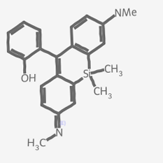 C/N=C1\C=CC2=C(c3ccccc3O)c3ccc(NC)cc3[Si](C)(C)C2=C1